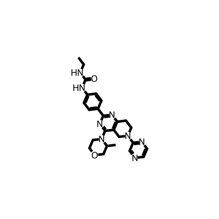 CCNC(=O)Nc1ccc(-c2nc3c(c(N4CCOCC4C)n2)CN(c2cnccn2)CC3)cc1